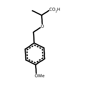 COc1ccc(COC(C)C(=O)O)cc1